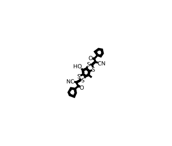 Cc1c2c(c(O)c3c1S/C(=C(/C#N)C(=O)c1ccccc1)S3)S/C(=C(/C#N)C(=O)c1ccccc1)S2